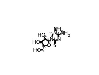 NC1=NC(=S)N([C@@H]2O[C@H](CO)C(O)C2O)CN1N